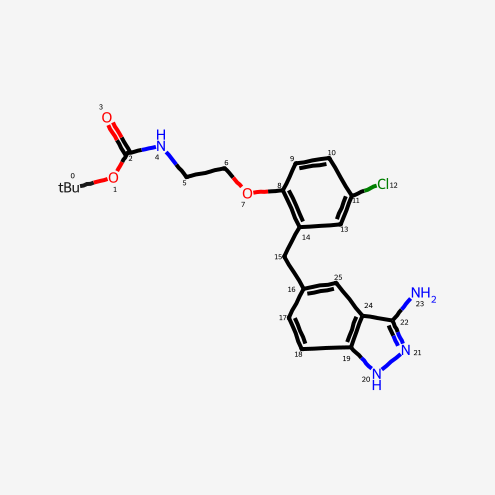 CC(C)(C)OC(=O)NCCOc1ccc(Cl)cc1Cc1ccc2[nH]nc(N)c2c1